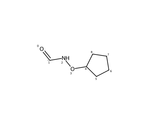 O=[C]NOC1CCCC1